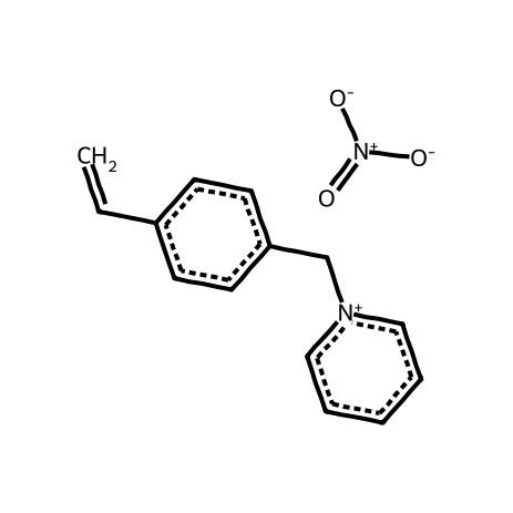 C=Cc1ccc(C[n+]2ccccc2)cc1.O=[N+]([O-])[O-]